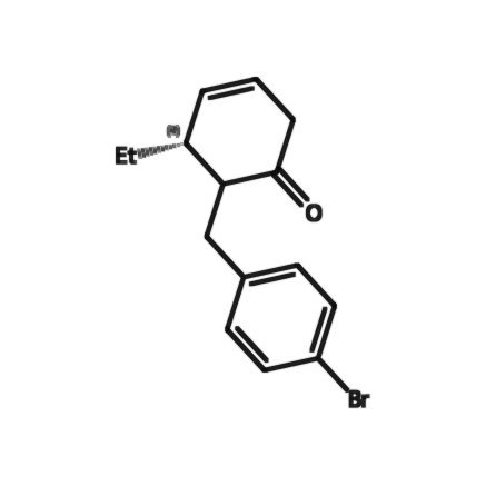 CC[C@@H]1C=CCC(=O)C1Cc1ccc(Br)cc1